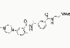 CNCCNC(=O)c1cccc([C@@H](C)NC(=O)c2cc(N3CCN(C)CC3)ccc2C)c1